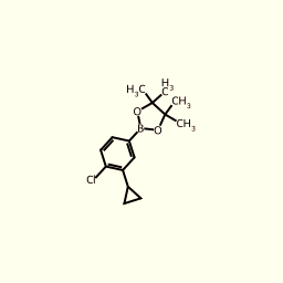 CC1(C)OB(c2ccc(Cl)c(C3CC3)c2)OC1(C)C